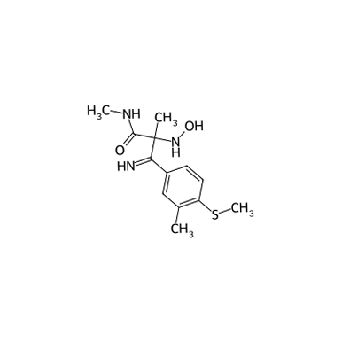 CNC(=O)C(C)(NO)C(=N)c1ccc(SC)c(C)c1